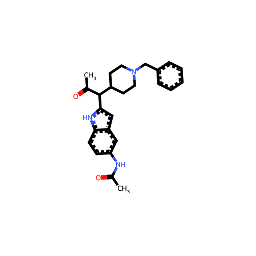 CC(=O)Nc1ccc2[nH]c(C(C(C)=O)C3CCN(Cc4ccccc4)CC3)cc2c1